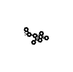 c1ccc(N2c3ccccc3B3c4ccc(-c5ccc6sc7ccccc7c6c5)cc4N(c4ccccc4)c4cccc2c43)cc1